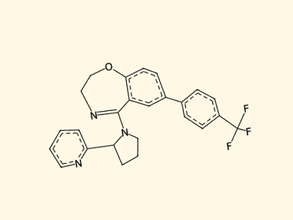 FC(F)(F)c1ccc(-c2ccc3c(c2)C(N2CCCC2c2ccccn2)=NCCO3)cc1